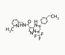 CCc1ccc([C@@H]2C[C@H](C(F)(F)F)n3ncc(C(=O)NCc4cccc(C)n4)c3N2)cc1